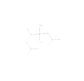 CC(C)CC(C)C(O)(P)CC(C)C